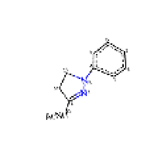 CC(=O)NC1=NN(c2ccccc2)CC1